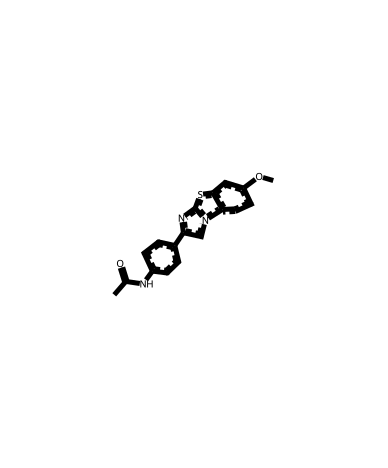 COc1ccc2c(c1)sc1nc(-c3ccc(NC(C)=O)cc3)cn12